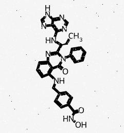 CC[C@H](Nc1ncnc2[nH]cnc12)c1nc2cccc(NCc3ccc(C(=O)NO)cc3)c2c(=O)n1-c1ccccc1